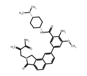 C=C(CN1Cc2c(ccc3ccc(-c4cc(OC)c(N)c(C(=O)N[C@H]5CC[C@@H](N(C)C)CC5)c4)cc23)C1=O)C(N)=O